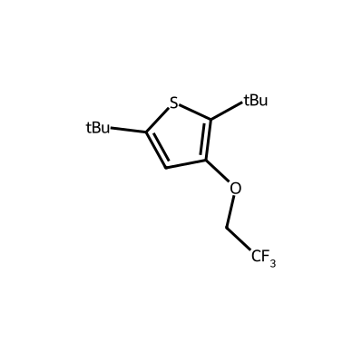 CC(C)(C)c1cc(OCC(F)(F)F)c(C(C)(C)C)s1